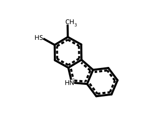 Cc1cc2c(cc1S)[nH]c1ccccc12